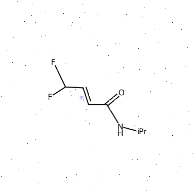 CC(C)NC(=O)/C=C/C(F)F